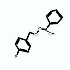 OB(OOCc1ccc(F)cc1)c1ccccc1